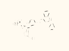 O=C(NO)[C@H]1C[C@]1(Cc1ccc(OCc2cc(-c3ccccc3)nc3ccccc23)cc1)C(=O)N1CC[C@H](O)C1